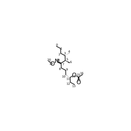 CCC[C@H](C)[C@@H](C)/C(CCC[C@@H](CC)OC(C)=O)=N/OC